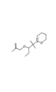 C=C(C)COC(CC)C(C)(C)[SiH]1CCCCO1